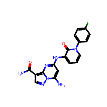 NC(=O)c1cnn2c(N)cc(Nc3cccn(-c4ccc(F)cc4)c3=O)nc12